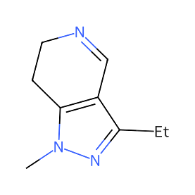 CCc1nn(C)c2c1C=NCC2